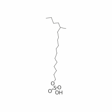 CCCCC(C)CCCCCCCCCCCCOS(=O)(=O)O